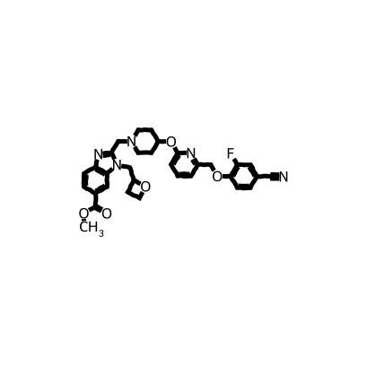 COC(=O)c1ccc2nc(CN3CCC(Oc4cccc(COc5ccc(C#N)cc5F)n4)CC3)n(CC3CCO3)c2c1